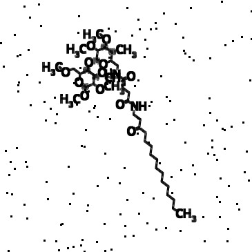 CCCCCCCCCCCCCC(=O)CCNC(=O)CCC(=O)NCC1O[C@H](O[C@@H]2C(COC)O[C@H](OC)C(OC)[C@H]2OC)C(OC)[C@@H](OC)[C@@H]1C